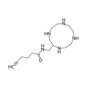 C#CCCCC(=O)NCC1CNCCNCCNCCN1